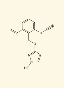 C=Cc1cccc(OC#N)c1COc1ccn(S)n1